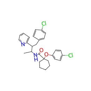 CC(NC(=O)C1(Oc2ccc(Cl)cc2)CCCCC1)C(Cc1ccc(Cl)cc1)c1ccccn1